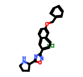 Cl.c1ccc(COc2ccc3cc(-c4noc(C5CCCN5)n4)ccc3c2)cc1